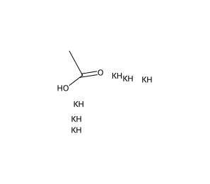 CC(=O)O.[KH].[KH].[KH].[KH].[KH].[KH]